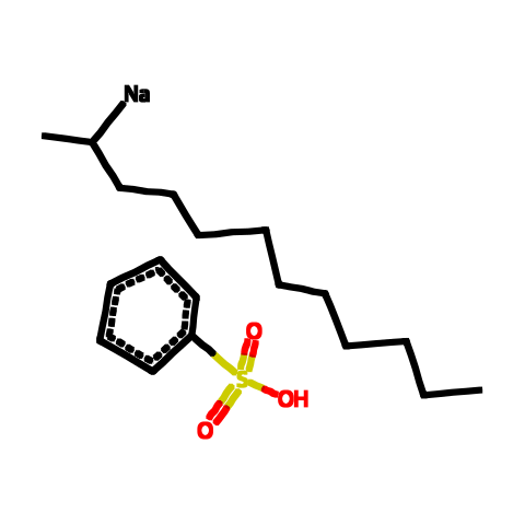 CCCCCCCCCC[CH](C)[Na].O=S(=O)(O)c1ccccc1